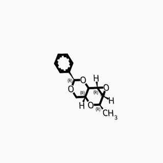 C[C@H]1O[C@@H]2CO[C@@H](c3ccccc3)OC2[C@@H]2O[C@H]12